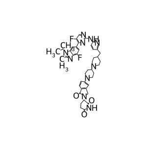 Cc1nc2c(F)cc(-c3nc(Nc4ccc(CC5CCN(C6CCN(c7ccc8c(c7)CN(C7CCC(=O)NC7=O)C8=O)CC6)CC5)cn4)ncc3F)cc2n1C(C)C